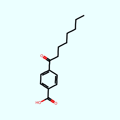 CCCCCCCC(=O)c1ccc(C(=O)O)cc1